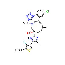 C=C1/C=C(c2cc(Cl)ccc2-n2cnnn2)\C=[N+](\OC)CC(O)(c2nc(C)c(-c3csc(C(=O)O)c3F)[nH]2)CC1